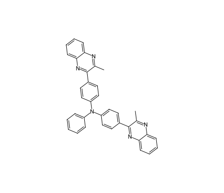 Cc1nc2ccccc2nc1-c1ccc(N(c2ccccc2)c2ccc(-c3nc4ccccc4nc3C)cc2)cc1